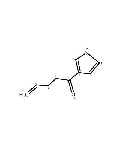 C=CCCC(=O)c1ccsc1